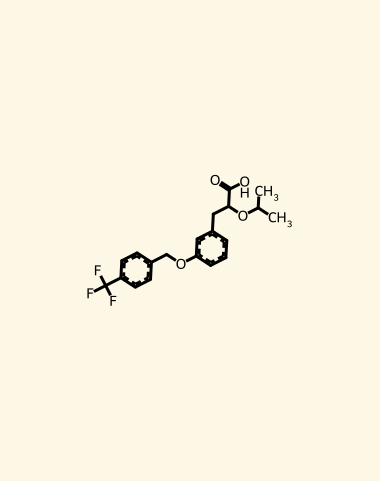 CC(C)OC(Cc1cccc(OCc2ccc(C(F)(F)F)cc2)c1)C(=O)O